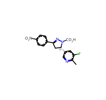 Cc1ncc([C@@H]2CC(c3ccc([N+](=O)[O-])cc3)=NN2C(=O)O)cc1F